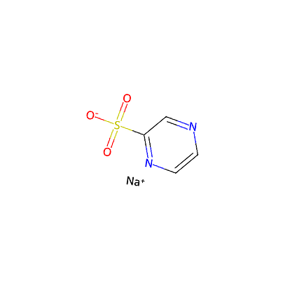 O=S(=O)([O-])c1cnccn1.[Na+]